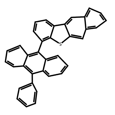 c1ccc(-c2c3ccccc3c(-c3cccc4c3sc3cc5ccccc5cc34)c3ccccc23)cc1